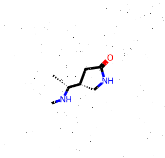 CN[C@H](C)[C@H]1CNC(=O)C1